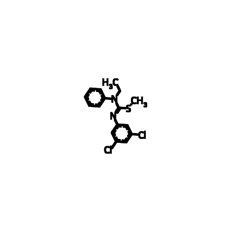 CCN(C(=Nc1cc(Cl)cc(Cl)c1)SC)c1ccccc1